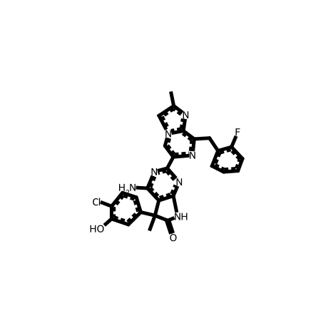 Cc1cn2cc(-c3nc(N)c4c(n3)NC(=O)C4(C)c3ccc(Cl)c(O)c3)nc(Cc3ccccc3F)c2n1